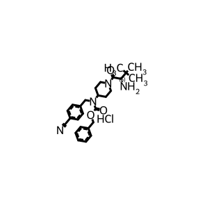 CC(C)(C)[C@H](N)C(=O)N1CCC(N(Cc2ccc(C#N)cc2)C(=O)OCc2ccccc2)CC1.Cl